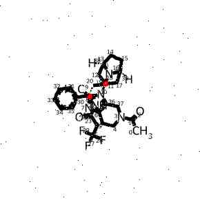 CC(=O)N1CCc2nc(C)n([C@H]3C[C@H]4CC[C@@H](C3)N4CC[C@H](NC(=O)CC(F)(F)F)c3ccccc3)c2C1